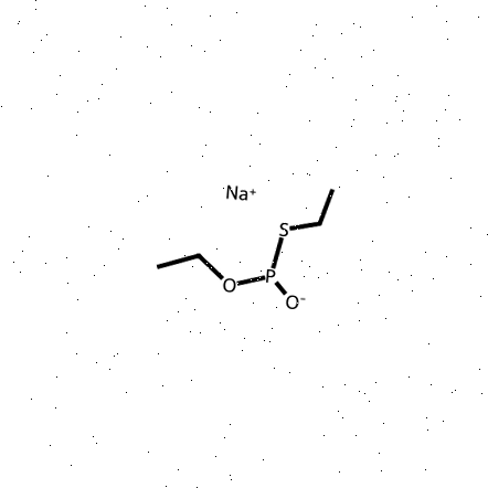 CCOP([O-])SCC.[Na+]